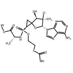 CC(C)OC(=O)[C@@H](C)NP(=O)(OCCSC(=O)C(C)(C)C)[C@H]1CC12O[C@@H](n1cnc3c(N)ncnc31)[C@](C)(Cl)[C@@H]2O